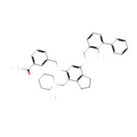 Cc1c(COc2cc(OCc3cccc(C(N)=O)c3)c(CN3CCCC[C@H]3C)c3c2CCC3)cccc1-c1ccccc1